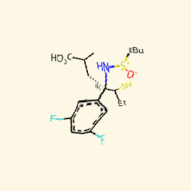 CCC(S)[C@](CC(C)C(=O)O)(N[S+]([O-])C(C)(C)C)c1cc(F)cc(F)c1